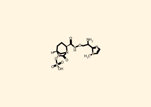 Cn1ccnc1C(N)CONC(=O)[C@@H]1CC[C@@H]2CN1C(=O)N2OS(=O)(=O)O